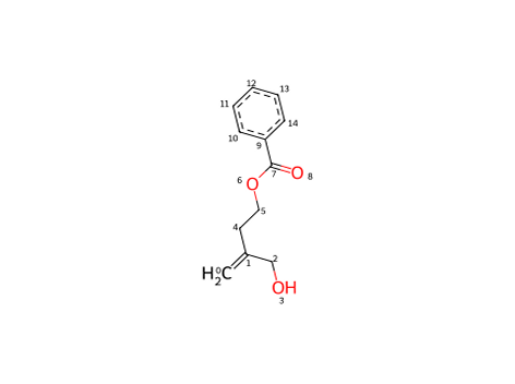 C=C(CO)CCOC(=O)c1ccccc1